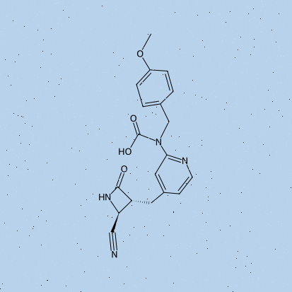 COc1ccc(CN(C(=O)O)c2cc(C[C@H]3C(=O)N[C@@H]3C#N)ccn2)cc1